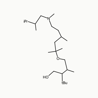 CC(CCN(C)CC(C)C(C)C)CC(C)(C)OCC(C)C(CO)C(C)(C)C